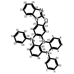 c1ccc(N2c3ccccc3B3c4cc5oc6nc7ccccc7n6c5cc4N(c4ccccc4)c4cccc2c43)cc1